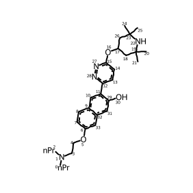 CCCN(CCC)CCOc1ccc2cc(-c3ccc(OC4CC(C)(C)NC(C)(C)C4)nn3)c(O)cc2c1